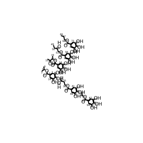 CC(C)OC(=O)c1cc(O)c(O)c(O)c1.CC(O)C(C)OC(=O)c1cc(O)c(O)c(O)c1.CC(O)CCOC(=O)c1cc(O)c(O)c(O)c1.CCC(O)COC(=O)c1cc(O)c(O)c(O)c1.CCCOC(=O)c1cc(O)c(O)c(O)c1.CCOC(=O)c1cc(O)c(O)c(O)c1